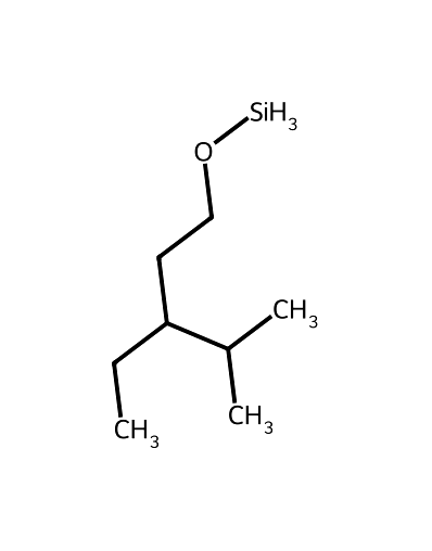 CCC(CCO[SiH3])C(C)C